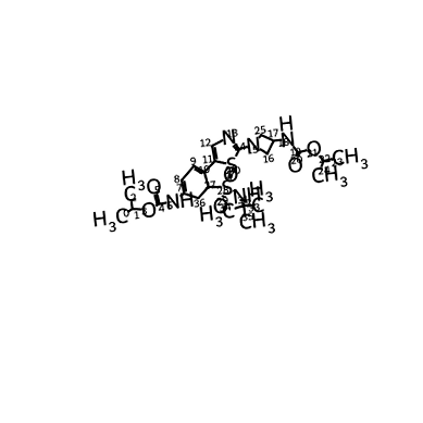 CC(C)OC(=O)NC1=CC=C(c2cnc(N3CC(NC(=O)OC(C)C)C3)s2)C(S(=O)(=O)NC(C)(C)C)C1